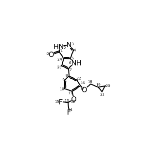 O=c1[nH]ncc2[nH]c(-c3ccc(OC(F)F)c(OCC4CC4)c3)cc12